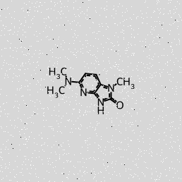 CN(C)c1c[c]c2c(n1)[nH]c(=O)n2C